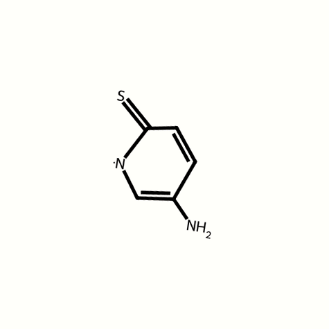 NC1=C[N]C(=S)C=C1